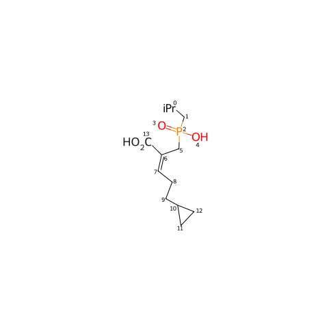 CC(C)CP(=O)(O)C/C(=C\CCC1CC1)C(=O)O